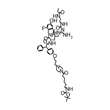 CCC(=O)NCCNC(=O)/N=C(/N)NCCC[C@@H](NC(=O)C(c1ccccc1)c1ccc(OCCCN2CCN(C(=O)CCCCCNC(=O)OC(C)(C)C)CC2)cc1)C(=O)NCc1c(F)cc(O)cc1F